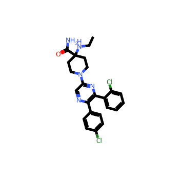 CCNC1(C(N)=O)CCN(c2cnc(-c3ccc(Cl)cc3)c(-c3ccccc3Cl)n2)CC1